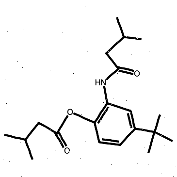 CC(C)CC(=O)Nc1cc(C(C)(C)C)ccc1OC(=O)CC(C)C